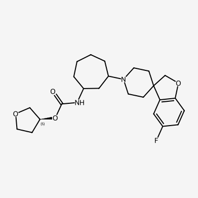 O=C(NC1CCCCC(N2CCC3(CC2)COc2ccc(F)cc23)C1)O[C@H]1CCOC1